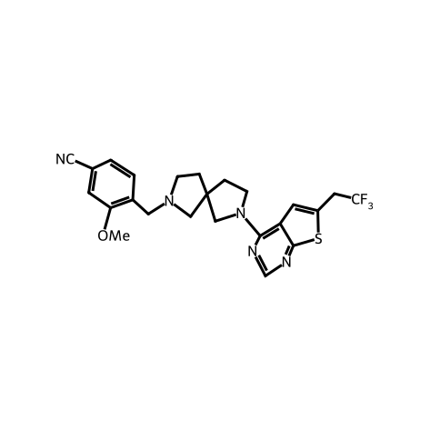 COc1cc(C#N)ccc1CN1CCC2(CCN(c3ncnc4sc(CC(F)(F)F)cc34)C2)C1